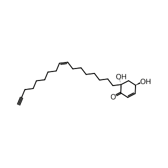 C#CCCCCCC/C=C\CCCCCCC[C@@]1(O)C[C@@H](O)C=CC1=O